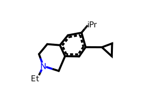 CCN1CCc2cc(C(C)C)c(C3CC3)cc2C1